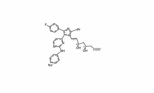 CC(C)c1nc(-c2ccc(F)cc2)c(-c2ccnc(Nc3ccccc3)n2)n1/C=C/[C@H](O)C[C@H](O)CC(=O)[O-].[Na+]